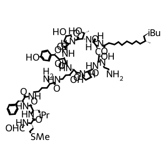 CC[C@H](C)C[C@H](C)CCCCCCCCC(=O)NC1C[C@@H](O)/C(=N/CCN)NC(=O)[C@@H]2CCCN2C(=O)[C@H]([C@H](O)CCNC(=O)[C@@H](N)CCCCNC(=O)[C@H](Cc2ccccc2)NC(=O)[C@H](CC(C)C)NC(=O)[C@H](CCSC)NC=O)NC(=O)[C@H]([C@H](O)[C@@H](O)c2ccc(O)cc2)NC(=O)[C@@H]2C[C@@H](O)CN2C(=O)[C@H]([C@@H](C)O)NC1=O